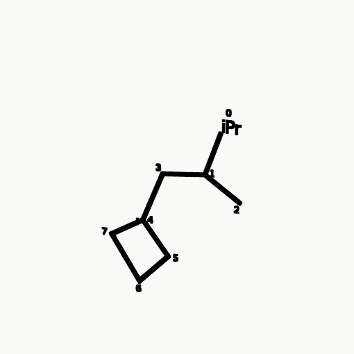 CC(C)C(C)C[C]1CCC1